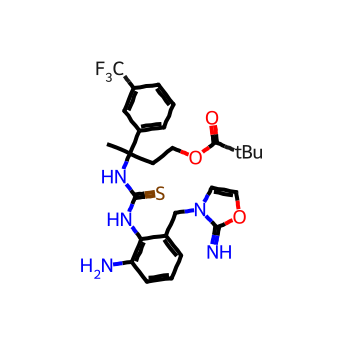 CC(C)(C)C(=O)OCCC(C)(NC(=S)Nc1c(N)cccc1Cn1ccoc1=N)c1cccc(C(F)(F)F)c1